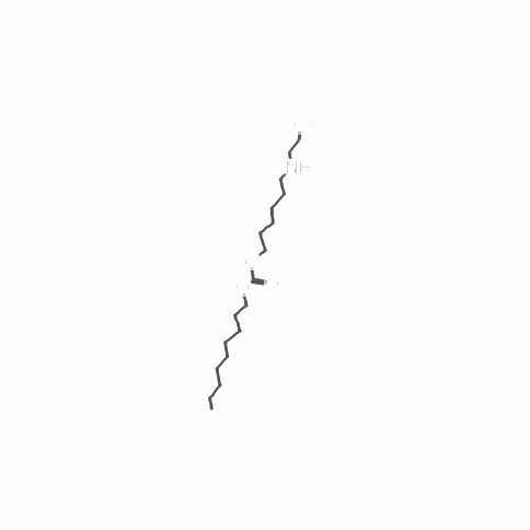 CCCCCCCCCOC(=O)OCCCCCCNCCO